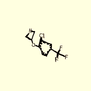 FC(F)(F)c1ccc(OC2C[N]C2)c(Cl)c1